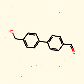 O=Cc1ccc(-c2ccc(CO)cc2)cc1